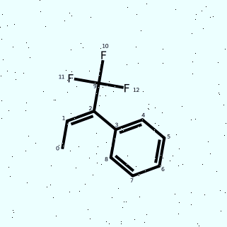 C/C=C(\c1ccccc1)C(F)(F)F